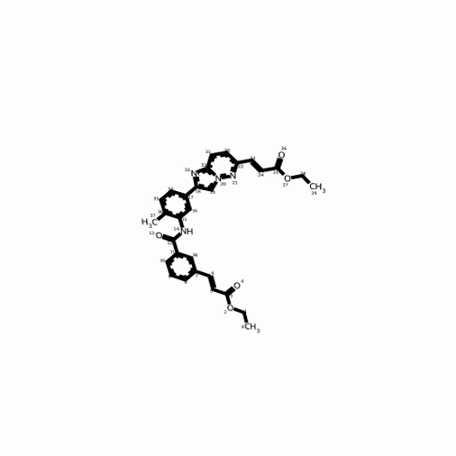 CCOC(=O)C=Cc1cccc(C(=O)Nc2cc(-c3cn4nc(C=CC(=O)OCC)ccc4n3)ccc2C)c1